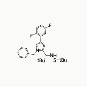 CC(C)(C)SN[C@@H](c1cc(-c2cc(F)ccc2F)cn1Cc1ccccc1)C(C)(C)C